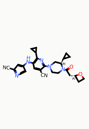 N#Cc1cc(Nc2cc(C#N)c(N3CCN(C(=O)C[C@H]4CCO4)[C@H](C4CC4)C3)nc2C2CC2)ccn1